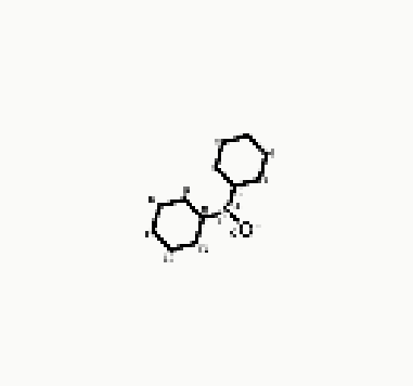 [O-][S+](C1CCCCC1)C1CCCCC1